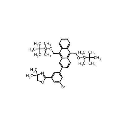 CC1(C)COC(c2cc(Br)cc(-c3ccc4c(CO[Si](C)(C)C(C)(C)C)c5ccccc5c(CO[Si](C)(C)C(C)(C)C)c4c3)c2)=N1